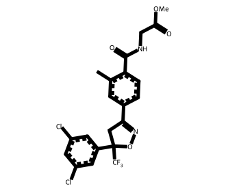 COC(=O)CNC(=O)c1ccc(C2=NOC(c3cc(Cl)cc(Cl)c3)(C(F)(F)F)C2)cc1C